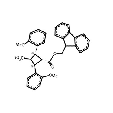 COc1ccccc1[C@H]1[C@H](C(=O)O)[C@H](c2ccccc2OC)[C@H]1C(=O)OCC1c2ccccc2-c2ccccc21